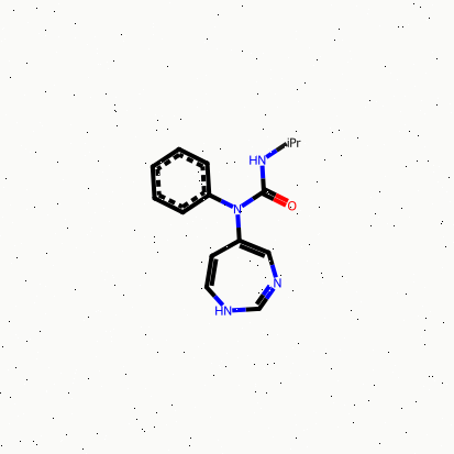 CC(C)NC(=O)N(C1=CN=CNC=C1)c1ccccc1